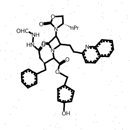 CCC[C@H]1COC(=O)N1C1C(=O)N(C(C(=O)OCc2ccc(O)cc2)[C@H](CC(=O)NNC=O)Cc2ccccc2)C1CCc1ccc2ccccc2n1